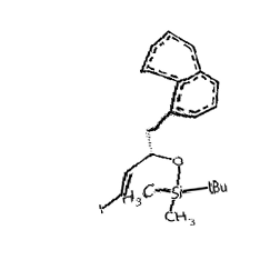 CC(C)(C)[Si](C)(C)O[C@H](C=CI)Cc1cccc2ccccc12